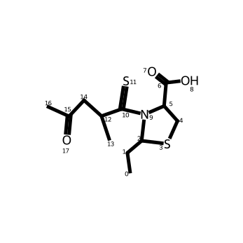 CCC1SCC(C(=O)O)N1C(=S)C(C)CC(C)=O